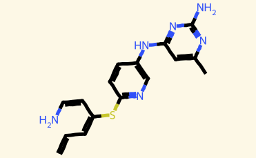 C=C/C=C(\C=C/N)Sc1ccc(Nc2cc(C)nc(N)n2)cn1